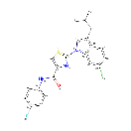 CC(C)Cc1cn(-c2nc(C(=O)Nc3ccc(F)cc3)cs2)c2cc(Cl)ccc12